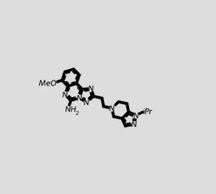 COc1cccc2c1nc(N)n1nc(CCN3CCc4c(cnn4C(C)C)C3)nc21